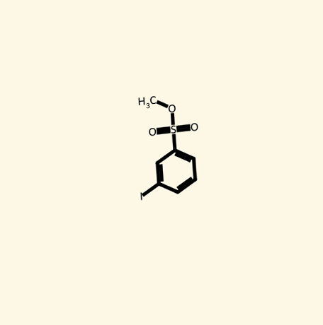 COS(=O)(=O)c1cccc(I)c1